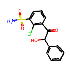 NS(=O)(=O)c1cccc(C(=O)C(O)c2ccccc2)c1Cl